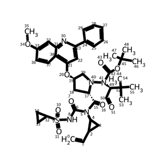 C=CC1CC1N(C(=O)NS(=O)(=O)C1CC1)C(=O)[C@@H]1C[C@@H](Oc2cc(-c3ccccc3)nc3cc(OC)ccc23)CN1N(C(=O)OC(C)(C)C)[C@H](C=O)C(C)(C)C